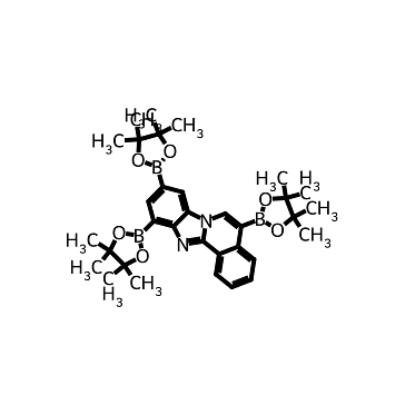 CC1(C)OB(c2cc(B3OC(C)(C)C(C)(C)O3)c3nc4c5ccccc5c(B5OC(C)(C)C(C)(C)O5)cn4c3c2)OC1(C)C